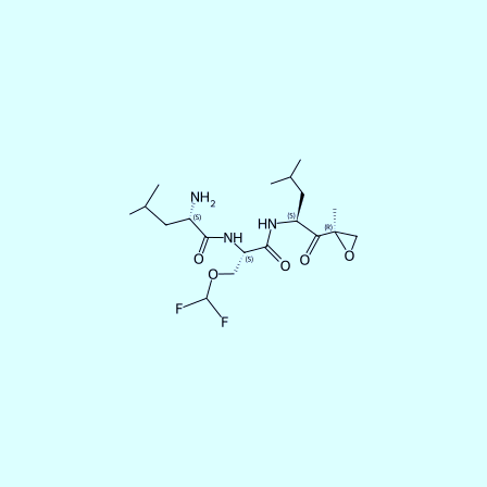 CC(C)C[C@H](NC(=O)[C@H](COC(F)F)NC(=O)[C@@H](N)CC(C)C)C(=O)[C@@]1(C)CO1